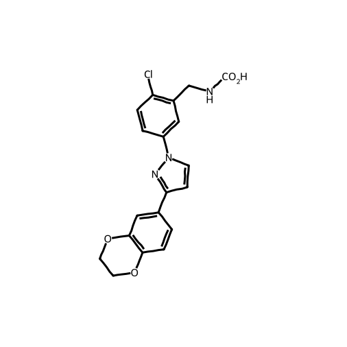 O=C(O)NCc1cc(-n2ccc(-c3ccc4c(c3)OCCO4)n2)ccc1Cl